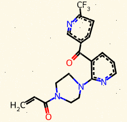 C=CC(=O)N1CCN(c2ncccc2C(=O)c2ccc(C(F)(F)F)nc2)CC1